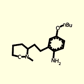 CCCCOc1ccc(N)c(CCC2CCCCN2C)c1